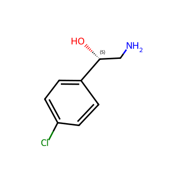 NC[C@@H](O)c1ccc(Cl)cc1